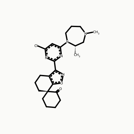 C[C@H]1CN(C)CCCN1c1cc(Cl)nc(-c2noc3c2CCC[C@@]32CCCCC2=O)n1